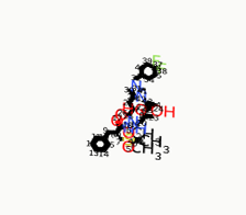 CC(C)(C)S(=O)(=O)C[C@@H](Cc1ccccc1)C(=O)NN(C[C@@H](O)CO)C(=O)CCC1=CN(CC2CCC(F)(F)CC2)CN1C1CC1